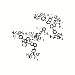 C[C](C)=[Zr]([CH]1C(C(C)C)=Cc2c(-c3ccc(C(C)(C)C)cc3)cccc21)[CH]1C(C(C)C)=Cc2c(-c3ccc(C(C)(C)C)cc3)cccc21.Cc1cccc(C)c1[O-].Cc1cccc(C)c1[O-].[CH2]=[Zr]([CH]1C(C(C)C)=Cc2c(-c3ccc(C(C)(C)C)cc3)cccc21)[CH]1C(C(C)C)=Cc2c(-c3ccc(C(C)(C)C)cc3)cccc21.[Cl-]